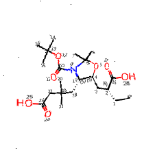 CC[C@H](C[C@@H]1OC(C)(C)N(C(=O)OC(C)(C)C)[C@H]1CC(C)(C)CC(=O)O)C(=O)O